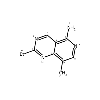 CCc1ncc2c(N)ncc(C)c2n1